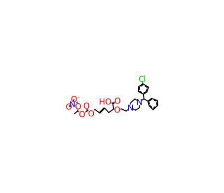 CC(OC(=O)OCC=CCC(OCCN1CCN(C(c2ccccc2)c2ccc(Cl)cc2)CC1)C(=O)O)O[N+](=O)[O-]